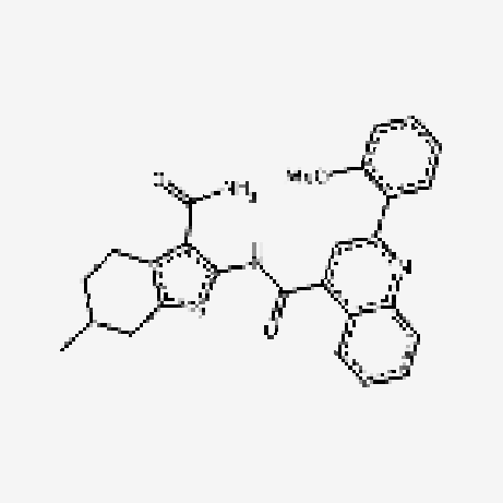 COc1ccccc1-c1cc(C(=O)Nc2sc3c(c2C(N)=O)CCC(C)C3)c2ccccc2n1